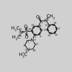 CN1CCN(c2ccc(C(=O)N(C)c3ccccc3)cc2S(=O)(=O)N(C)C)CC1